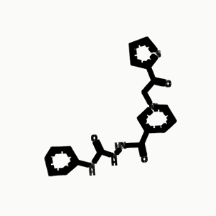 O=C(NNC(=O)c1ccc[n+](CC(=O)c2cccs2)c1)Nc1ccccc1